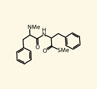 CNC(Cc1ccccc1)C(=O)NC(Cc1ccccc1)C(=O)SC